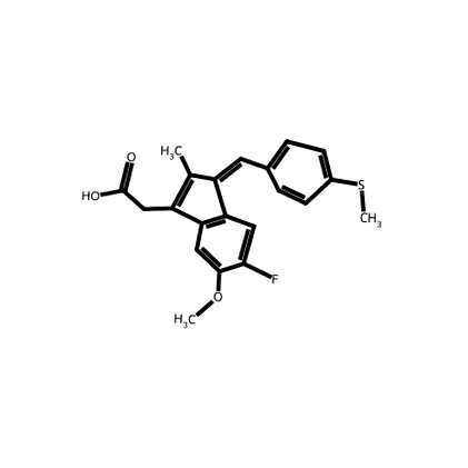 COc1cc2c(cc1F)/C(=C\c1ccc(SC)cc1)C(C)=C2CC(=O)O